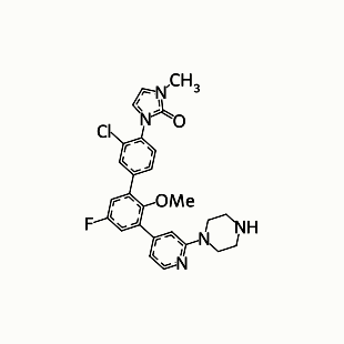 COc1c(-c2ccnc(N3CCNCC3)c2)cc(F)cc1-c1ccc(-n2ccn(C)c2=O)c(Cl)c1